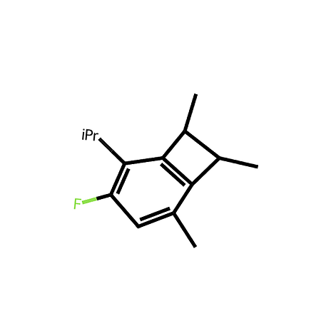 Cc1cc(F)c(C(C)C)c2c1C(C)C2C